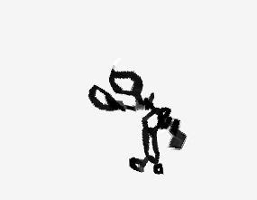 CN(C(=O)Cc1cc(Cl)c(Cl)cc1N)[C@H](CN1CCCC1)c1ccccc1